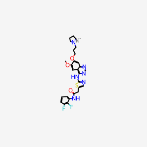 COc1cc2c(Nc3ncc(CC(=O)Nc4cccc(F)c4F)s3)ncnc2cc1OCCCN1CCC[C@@H]1C